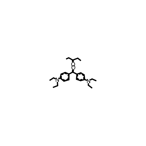 CCC(=O)CC.CCN(CC)c1ccc(C(=O)c2ccc(N(CC)CC)cc2)cc1